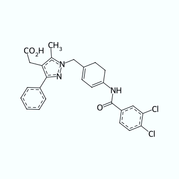 Cc1c(CC(=O)O)c(-c2ccccc2)nn1CC1=CC=C(NC(=O)c2ccc(Cl)c(Cl)c2)CC1